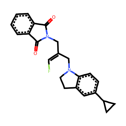 O=C1c2ccccc2C(=O)N1CC(=CF)CN1CCc2cc(C3CC3)ccc21